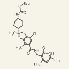 Cc1cc(C)c(CNC(=O)c2cc(Cl)c3c(c2C)OC(C)([C@H]2CC[C@H](NC(=O)OC(C)(C)C)CC2)O3)c(=O)[nH]1